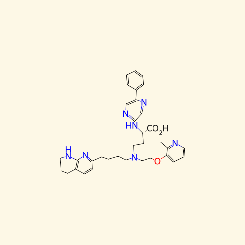 Cc1ncccc1OCCN(CCCCc1ccc2c(n1)NCCC2)CC[C@H](Nc1cnc(-c2ccccc2)cn1)C(=O)O